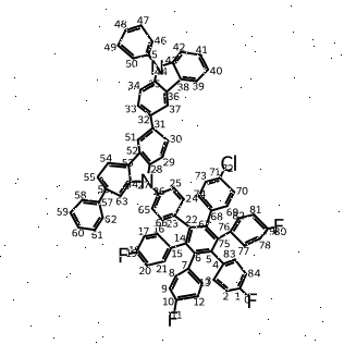 Fc1ccc(-c2c(-c3ccc(F)cc3)c(-c3ccc(F)cc3)c(-c3ccc(-n4c5ccc(-c6ccc7c(c6)c6ccccc6n7-c6ccccc6)cc5c5ccc(-c6ccccc6)cc54)cc3)c(-c3ccc(Cl)cc3)c2-c2ccc(F)cc2)cc1